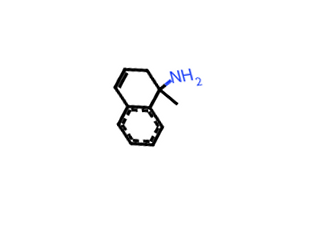 CC1(N)CC=Cc2ccccc21